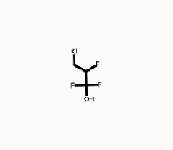 OC(F)(F)C(F)CCl